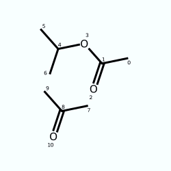 CC(=O)OC(C)C.CC(C)=O